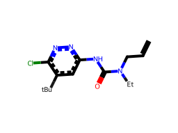 C=CCN(CC)C(=O)Nc1cc(C(C)(C)C)c(Cl)nn1